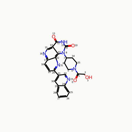 O=C(CO)N1CCC(n2c(=O)[nH]c(=O)c3cnc4ccc(-c5cnc6ccccc6c5)nc4c32)CC1